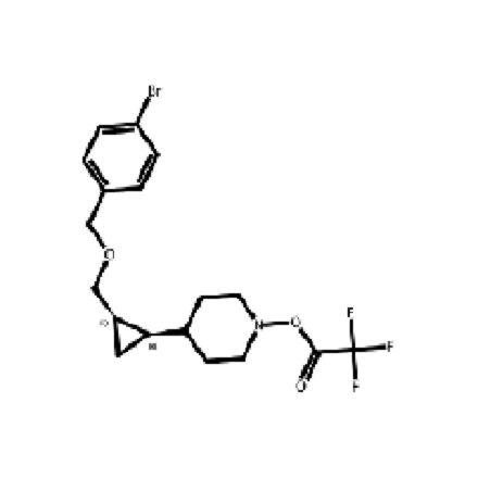 O=C(ON1CCC([C@H]2C[C@H]2COCc2ccc(Br)cc2)CC1)C(F)(F)F